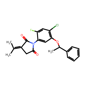 CC(C)=C1CC(=O)N(c2cc(OC(C)c3ccccc3)c(Cl)cc2F)C1=O